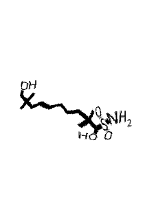 CC(C)(CO)CCCCCCC(C)(C)C(O)S(N)(=O)=O